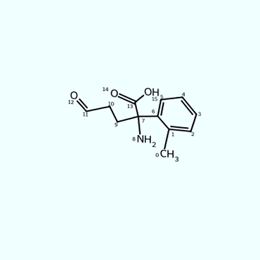 Cc1ccccc1C(N)(CCC=O)C(=O)O